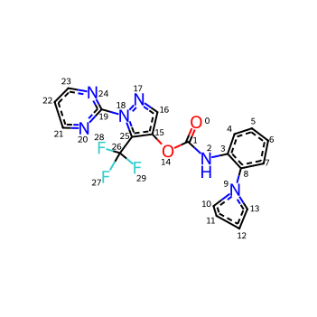 O=C(Nc1ccccc1-n1cccc1)Oc1cnn(-c2ncccn2)c1C(F)(F)F